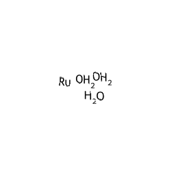 O.O.O.[Ru]